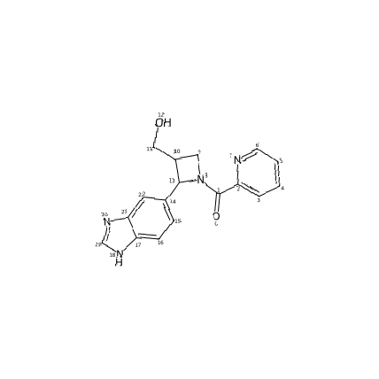 O=C(c1ccccn1)N1CC(CO)C1c1ccc2[nH]cnc2c1